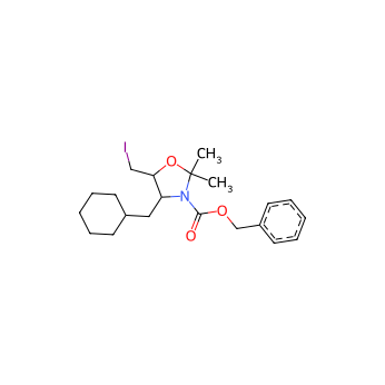 CC1(C)OC(CI)C(CC2CCCCC2)N1C(=O)OCc1ccccc1